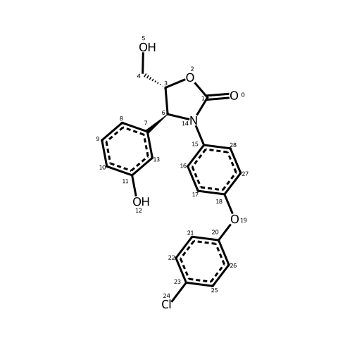 O=C1O[C@@H](CO)[C@H](c2cccc(O)c2)N1c1ccc(Oc2ccc(Cl)cc2)cc1